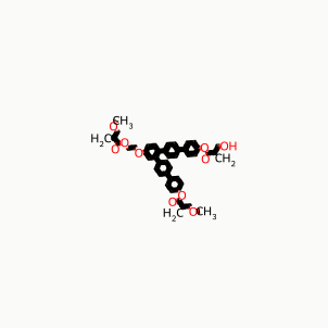 C=C(COC)C(=O)OCCOc1ccc(-c2ccc(-c3ccc(OC(=O)C(=C)CO)cc3)cc2)c(C2CCC(C3CCC(OC(=O)C(=C)COC)CC3)CC2)c1